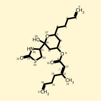 C=CCCCC1CC(OC(=O)/C=C(/C)CCC=C)CC(O)(C2CSC(=O)N2)O1